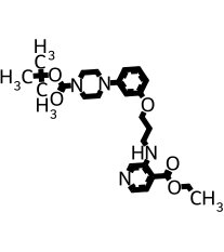 CCOC(=O)c1ccncc1NCCCOc1cccc(N2CCN(C(=O)OC(C)(C)C)CC2)c1